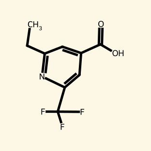 CCc1cc(C(=O)O)cc(C(F)(F)F)n1